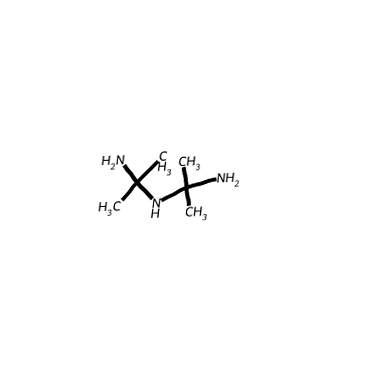 CC(C)(N)NC(C)(C)N